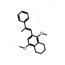 COc1cc(/C=C(\C)c2ccccc2)c(OC)c2c1CCCC2